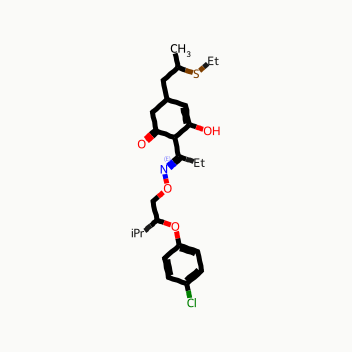 CCSC(C)CC1C=C(O)C(/C(CC)=N/OCC(Oc2ccc(Cl)cc2)C(C)C)C(=O)C1